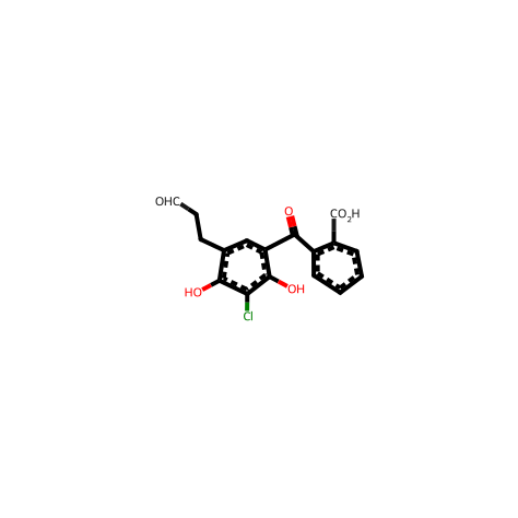 O=CCCc1cc(C(=O)c2ccccc2C(=O)O)c(O)c(Cl)c1O